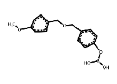 COc1ccc(COCc2ccc(OB(O)O)cc2)cc1